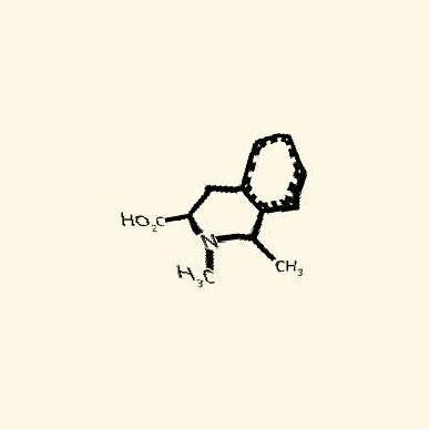 CC1c2ccccc2CC(C(=O)O)N1C